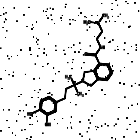 CN(C)CCNC(=O)c1cccc2c1CN(C(C)(C)CCc1ccc(O)c(O)c1)C2